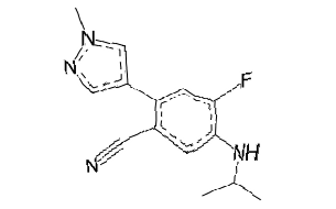 CC(C)Nc1cc(C#N)c(-c2cnn(C)c2)cc1F